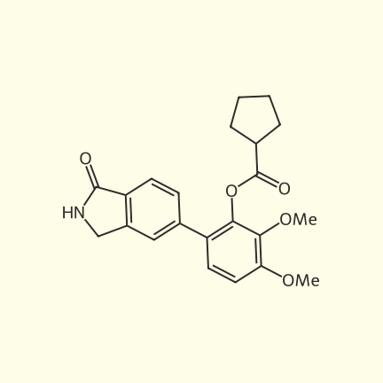 COc1ccc(-c2ccc3c(c2)CNC3=O)c(OC(=O)C2CCCC2)c1OC